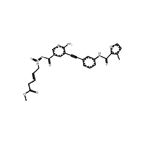 COC(=O)C/C=C/C/[SH](=O)=N\C(=O)c1cnc(N)c(C#Cc2cccc(NC(=O)c3occc3C)c2)c1